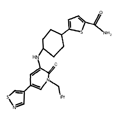 CC(C)Cn1cc(-c2cnsc2)cc(NC2CCC(c3ccc(C(N)=O)s3)CC2)c1=O